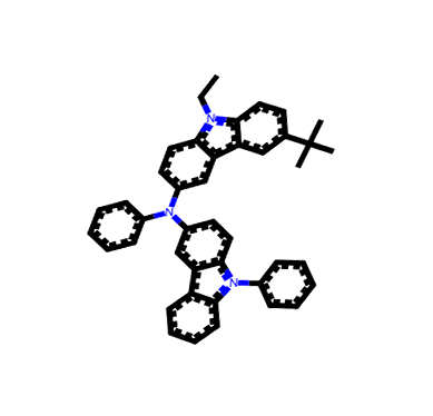 CCn1c2ccc(N(c3ccccc3)c3ccc4c(c3)c3ccccc3n4-c3ccccc3)cc2c2cc(C(C)(C)C)ccc21